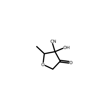 CC1OCC(=O)C1(O)C#N